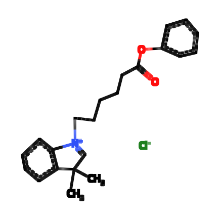 CC1(C)C=[N+](CCCCCC(=O)Oc2ccccc2)c2ccccc21.[Cl-]